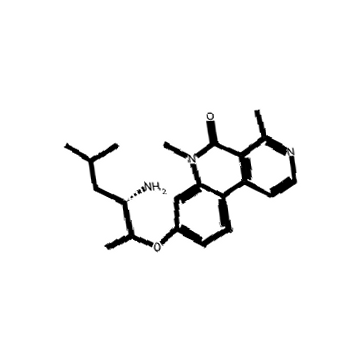 Cc1nccc2c1c(=O)n(C)c1cc(OC(C)[C@@H](N)CC(C)C)ccc21